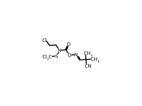 CC(C)(C#N)C=NOC(=O)N(CCCl)SC(Cl)(Cl)Cl